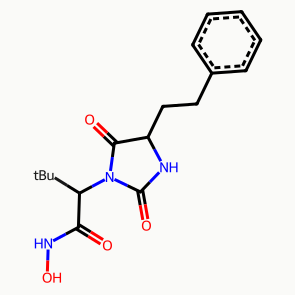 CC(C)(C)C(C(=O)NO)N1C(=O)NC(CCc2ccccc2)C1=O